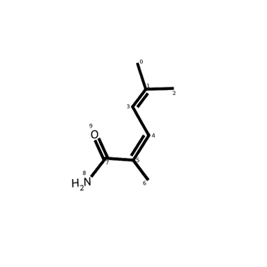 CC(C)=C/C=C(/C)C(N)=O